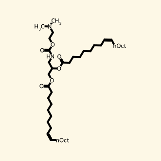 CCCCCCCC/C=C\CCCCCCCC(=O)OCC(CNC(=O)OCCN(C)C)OC(=O)CCCCCCC/C=C\CCCCCCCC